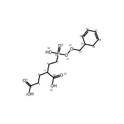 O=C(O)CCC(CCP(=O)(O)OOCC1C=CC=CC1)C(=O)O